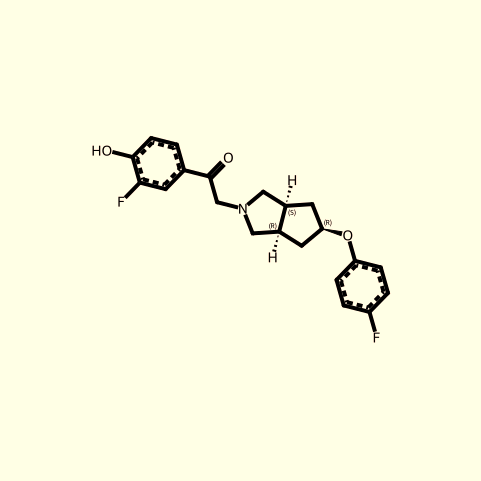 O=C(CN1C[C@H]2C[C@@H](Oc3ccc(F)cc3)C[C@H]2C1)c1ccc(O)c(F)c1